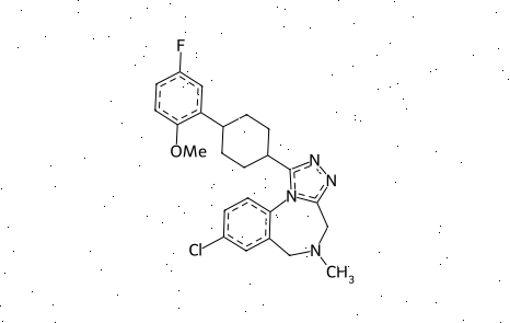 COc1ccc(F)cc1C1CCC(c2nnc3n2-c2ccc(Cl)cc2CN(C)C3)CC1